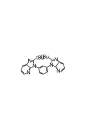 CC(C)(C)c1nc2cccnc2n1-c1cccc(-n2c(C(C)(C)C)nc3cccnc32)c1